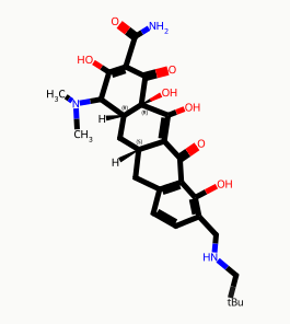 CN(C)C1C(O)=C(C(N)=O)C(=O)[C@]2(O)C(O)=C3C(=O)c4c(ccc(CNCC(C)(C)C)c4O)C[C@@H]3C[C@H]12